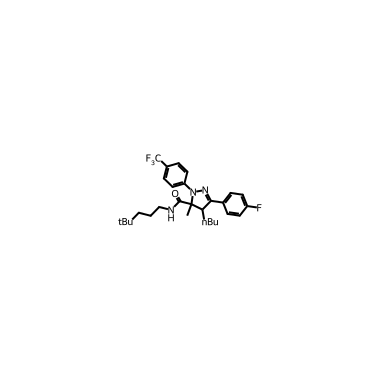 CCCCC1C(c2ccc(F)cc2)=NN(c2ccc(C(F)(F)F)cc2)C1(C)C(=O)NCCCC(C)(C)C